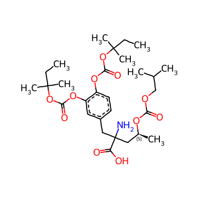 CCC(C)(C)OC(=O)Oc1ccc(CC(N)(C[C@H](C)OC(=O)OCC(C)C)C(=O)O)cc1OC(=O)OC(C)(C)CC